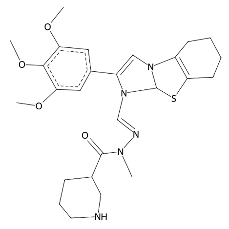 COc1cc(C2=CN3C4=C(CCCC4)SC3N2C=NN(C)C(=O)C2CCCNC2)cc(OC)c1OC